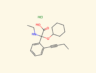 CCC#Cc1ccccc1C(NCC)(OC1CCCCC1)C(=O)O.Cl